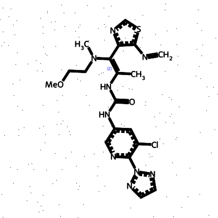 C=Nc1scnc1/C(=C(\C)NC(=O)Nc1cnc(-n2nccn2)c(Cl)c1)N(C)CCOC